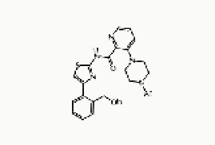 CC(=O)N1CCN(c2cccnc2C(=O)Nc2nc(-c3ccccc3CO)cs2)CC1